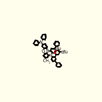 Cc1cc2c3c(c1)N(c1ccc(-c4ccccc4)cc1-c1cc(C(C)(C)C)cc(C(C)(C)C)c1)c1ccc(-c4ccccc4)cc1B3c1ccc(N(c3ccccc3)c3ccccc3)cc1O2